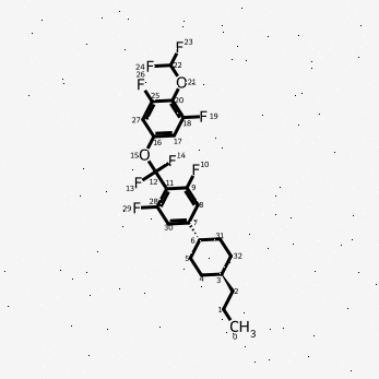 CCC[C@H]1CC[C@H](c2cc(F)c(C(F)(F)Oc3cc(F)c(OC(F)F)c(F)c3)c(F)c2)CC1